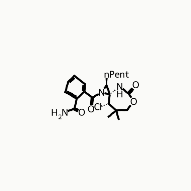 CCCCC[C@@H]1N(C(=O)c2ccccc2C(N)=O)[C@@]12NC(=O)OCC(C)(C)[C@@H]2Cl